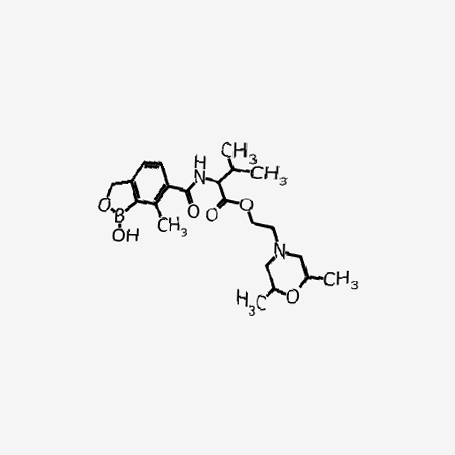 Cc1c(C(=O)NC(C(=O)OCCN2CC(C)OC(C)C2)C(C)C)ccc2c1B(O)OC2